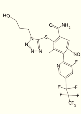 Cc1c(Sc2nnnn2CCCO)c(C(N)=O)cc([N+](=O)[O-])c1-c1ncc(C(F)(F)C(F)(F)C(F)(F)F)cc1F